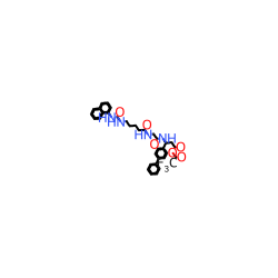 O=C(CCCCNC(=O)Nc1cccc2ccccc12)NCC(=O)NC(CC(=O)OC(=O)C(F)(F)F)c1ccc(-c2ccccc2)cc1